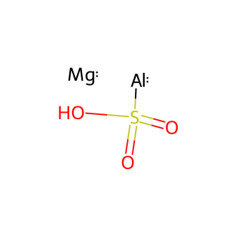 O=[S](=O)(O)[Al].[Mg]